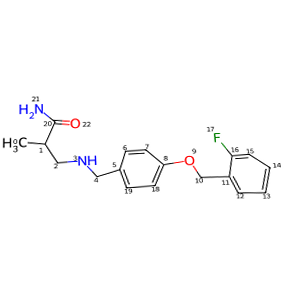 CC(CNCc1ccc(OCc2ccccc2F)cc1)C(N)=O